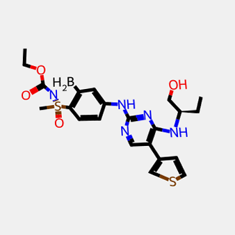 Bc1cc(Nc2ncc(-c3ccsc3)c(N[C@H](CC)CO)n2)ccc1S(C)(=O)=NC(=O)OCC